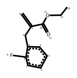 C=C(Cc1ccccc1F)C(=O)OCC